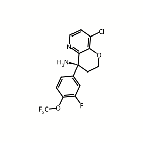 N[C@]1(c2ccc(OC(F)(F)F)c(F)c2)CCOc2c(Cl)ccnc21